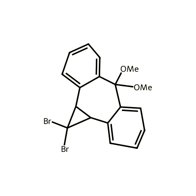 COC1(OC)c2ccccc2C2C(c3ccccc31)C2(Br)Br